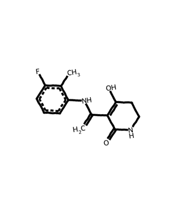 C=C(Nc1cccc(F)c1C)C1=C(O)CCNC1=O